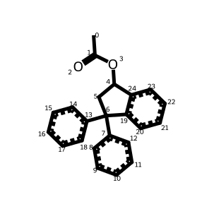 CC(=O)OC1CC(c2ccccc2)(c2ccccc2)c2ccccc21